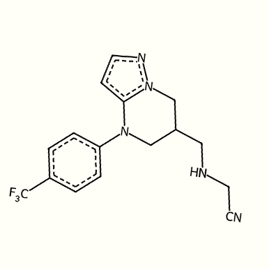 N#CCNCC1CN(c2ccc(C(F)(F)F)cc2)c2ccnn2C1